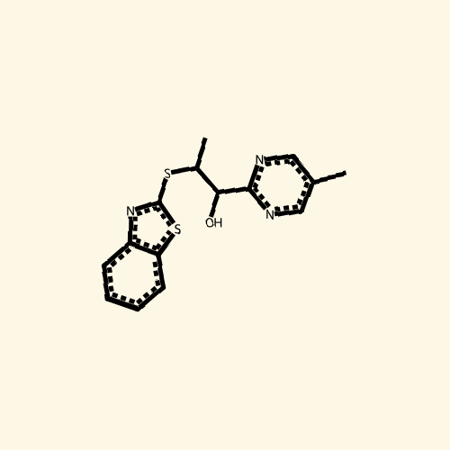 Cc1cnc(C(O)C(C)Sc2nc3ccccc3s2)nc1